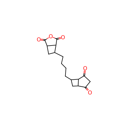 O=C1CC(=O)C2C(CCCCC3CC4C(=O)OC(=O)C34)CC12